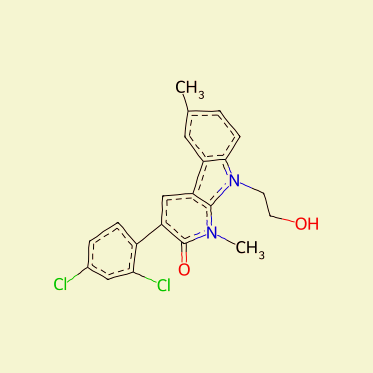 Cc1ccc2c(c1)c1cc(-c3ccc(Cl)cc3Cl)c(=O)n(C)c1n2CCO